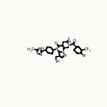 Cc1nnc(-c2ccc(-n3c(=O)c4c(n5ncc(CC(C)C)c35)CN(C(=O)c3ccc(Br)c(C(F)(F)F)c3)C(C)C4)cc2)[nH]1